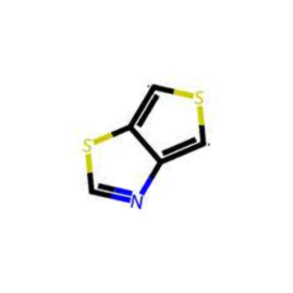 [c]1s[c]c2scnc12